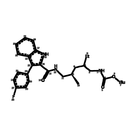 CCC(CNC(=O)OC(C)(C)C)C[C@@H](C)CNC(=O)c1[nH]c2ccccc2c1-c1ccc(F)cc1